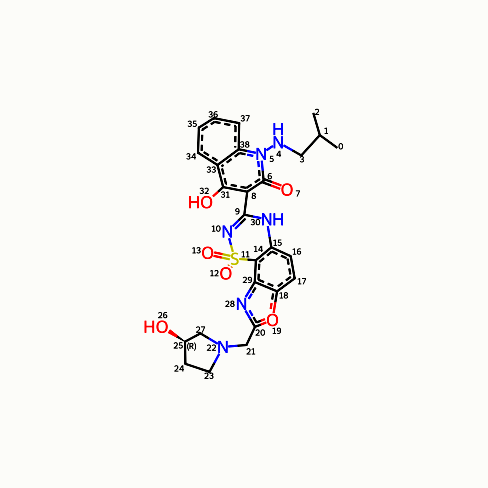 CC(C)CNn1c(=O)c(C2=NS(=O)(=O)c3c(ccc4oc(CN5CC[C@@H](O)C5)nc34)N2)c(O)c2ccccc21